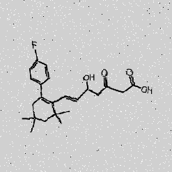 CC1(C)CC(c2ccc(F)cc2)=C(C=CC(O)CC(=O)CC(=O)O)C(C)(C)C1